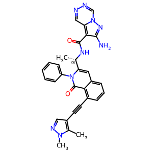 Cc1c(C#Cc2cccc3cc([C@H](C)NC(=O)c4c(N)nn5cnncc45)n(-c4ccccc4)c(=O)c23)cnn1C